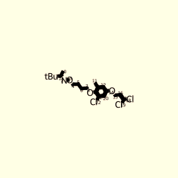 CC(=NOCCCCOc1c(C)cc(OCC=C(Cl)Cl)cc1Cl)C(C)(C)C